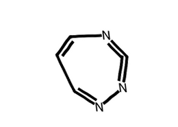 C1=NC=CC=NN=1